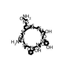 Cc1sc2nc1C(=O)N[C@@H]([C@H](O)c1ccccc1)c1nc(cs1)C(=O)N[C@@H](Cc1ccc(O)cc1)C(=O)N1CC(O)[C@H](C)[C@H]1c1nc(cs1)-c1nc(cs1)-c1nc(-c3nc(C(N)=O)cs3)ccc1-c1nc(cs1)C(=O)N[C@H]2CC(N)=O